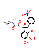 CN(O)C(=O)C(=O)CC(O)(Cc1cccc([N+](=O)[O-])c1)c1ccc(O)c(O)c1O